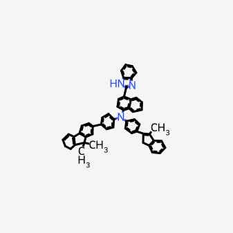 CC1=C(c2ccc(N(c3ccc(-c4ccc5c(c4)C(C)(C)C4=C5C=CCC4)cc3)c3ccc(-c4nc5ccccc5[nH]4)c4ccccc34)cc2)Cc2ccccc21